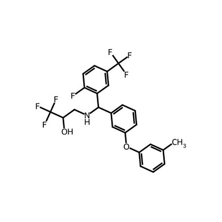 Cc1cccc(Oc2cccc(C(NCC(O)C(F)(F)F)c3cc(C(F)(F)F)ccc3F)c2)c1